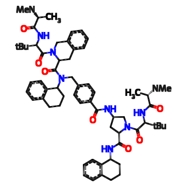 CN[C@@H](C)C(=O)NC(C(=O)N1CC(NC(=O)c2ccc(CN(C(=O)C3Cc4ccccc4CN3C(=O)C(NC(=O)[C@H](C)NC)C(C)(C)C)C3CCCc4ccccc43)cc2)CC1C(=O)NC1CCCc2ccccc21)C(C)(C)C